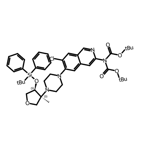 CC(C)(C)OC(=O)N(C(=O)OC(C)(C)C)c1cc2cc(N3CCN([C@@]4(C)COC[C@H]4O[Si](c4ccccc4)(c4ccccc4)C(C)(C)C)CC3)c(Cl)cc2cn1